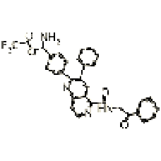 NC(OC(=O)C(F)(F)F)c1ccc(-c2nc3ccnc(C(=O)NCC(=O)c4ccccc4)c3cc2-c2ccccc2)cc1